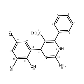 CCOC(=O)C1=C(c2ccccc2)NC(N)=NC1c1cc(Cl)cc(Cl)c1O